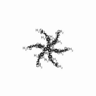 C=CC(=O)OCCCC[Si](C)(C)c1ccc(C(=O)Oc2cc3c4cc(OC(=O)c5ccc([Si](C)(C)CCCCOC(=O)C=C)cc5)c(OC(=O)c5ccc([Si](C)(C)CCCCOC(=O)C=C)cc5)cc4c4cc(OC(=O)c5ccc([Si](C)(C)CCCCOC(=O)C=C)cc5)c(OC(=O)c5ccc([Si](C)(C)CCCCOC(=O)C=C)cc5)cc4c3cc2OC(=O)c2ccc([Si](C)(C)CCCCOC(=O)C=C)cc2)cc1